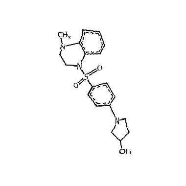 CN1CCN(S(=O)(=O)c2ccc(N3CCC(O)C3)cc2)c2ccccc21